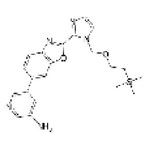 C[Si](C)(C)CCOCn1ccnc1-c1nc2ccc(-c3cncc(N)c3)cc2o1